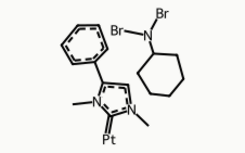 BrN(Br)C1CCCCC1.Cn1cc(-c2ccccc2)n(C)[c]1=[Pt]